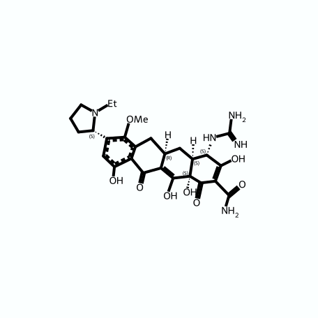 CCN1CCC[C@H]1c1cc(O)c2c(c1OC)C[C@H]1C[C@H]3[C@H](NC(=N)N)C(O)=C(C(N)=O)C(=O)[C@@]3(O)C(O)=C1C2=O